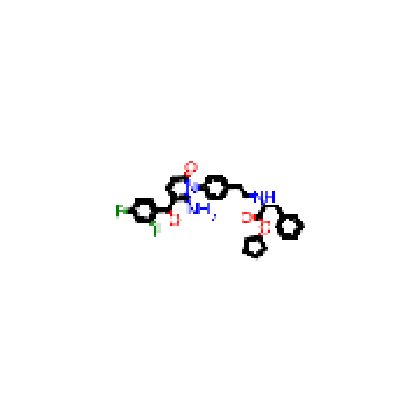 Nc1c(C(=O)c2ccc(F)cc2F)ccc(=O)n1-c1ccc(CCN[C@@H](Cc2ccccc2)C(=O)OC2CCCC2)cc1